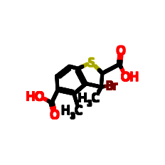 Cc1c(C(=O)O)ccc2c1C(C)(Br)C(C(=O)O)S2